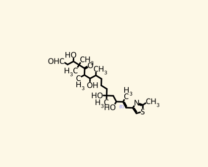 C/C(=C\c1csc(C)n1)C(O)CC(C)(O)CCCC(C)C(O)C(C)C(=O)C(C)(C)C(O)CC=O